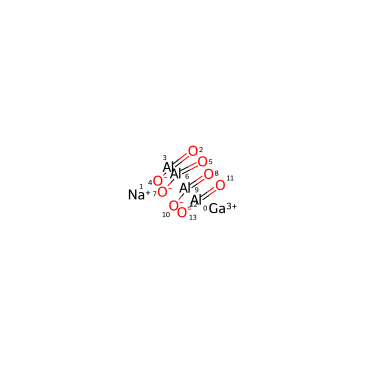 [Ga+3].[Na+].[O]=[Al][O-].[O]=[Al][O-].[O]=[Al][O-].[O]=[Al][O-]